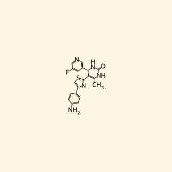 CC1=C(c2nc(-c3ccc(N)cc3)cs2)C(c2cncc(F)c2)NC(=O)N1